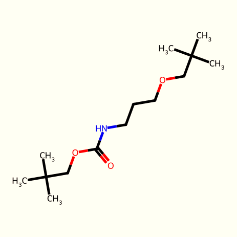 CC(C)(C)COCCCNC(=O)OCC(C)(C)C